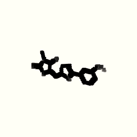 CN1C(=O)/C(=C\C2CC=C(c3cccc(C(F)(F)F)c3)O2)SC1=S